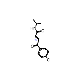 CC(C)NC(=O)/C=C/C(=O)c1ccc(Cl)cc1